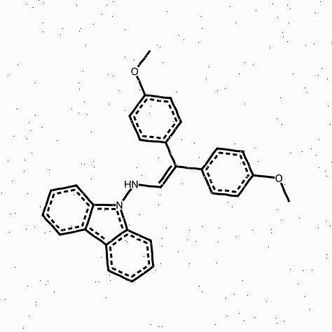 COc1ccc(C(=CNn2c3ccccc3c3ccccc32)c2ccc(OC)cc2)cc1